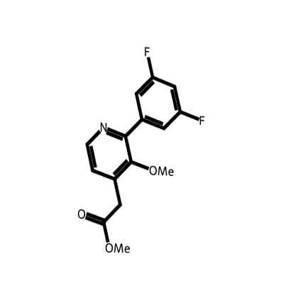 COC(=O)Cc1ccnc(-c2cc(F)cc(F)c2)c1OC